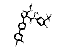 CN(C(=O)c1c(-c2ccc(-c3ccc(F)c(F)c3)cc2)csc1NC=O)c1ccc(Cl)c(C(F)(F)F)c1